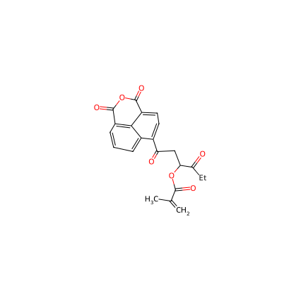 C=C(C)C(=O)OC(CC(=O)c1ccc2c3c(cccc13)C(=O)OC2=O)C(=O)CC